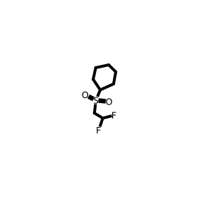 O=S(=O)(CC(F)F)[C]1CCCCC1